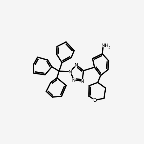 Nc1ccc(C2C=COCC2)c(-c2nnn(C(c3ccccc3)(c3ccccc3)c3ccccc3)n2)c1